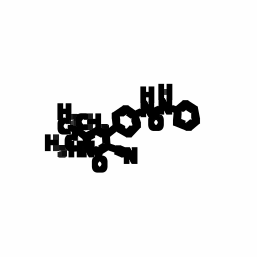 CC(C)(C)c1cc(-c2ccc(NC(=O)Nc3ccccc3)cc2)c(C#N)c(=O)[nH]1